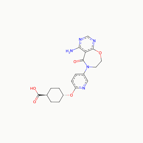 Nc1ncnc2c1C(=O)N(c1ccc(O[C@H]3CC[C@H](C(=O)O)CC3)nc1)CCO2